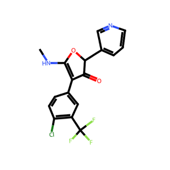 CNC1=C(c2ccc(Cl)c(C(F)(F)F)c2)C(=O)C(c2cccnc2)O1